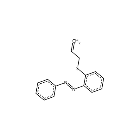 C=CCSc1ccccc1N=Nc1ccccc1